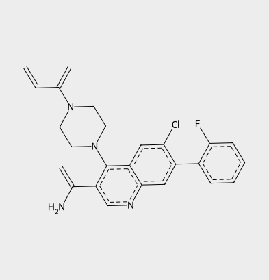 C=CC(=C)N1CCN(c2c(C(=C)N)cnc3cc(-c4ccccc4F)c(Cl)cc23)CC1